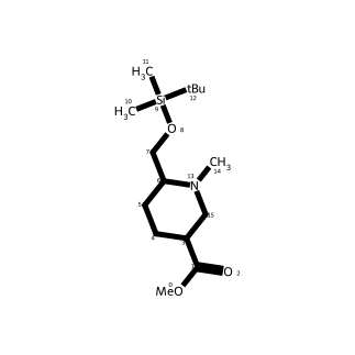 COC(=O)C1CCC(CO[Si](C)(C)C(C)(C)C)N(C)C1